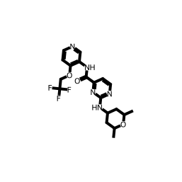 CC1CC(Nc2nccc(C(=O)Nc3cnccc3OCC(F)(F)F)n2)CC(C)O1